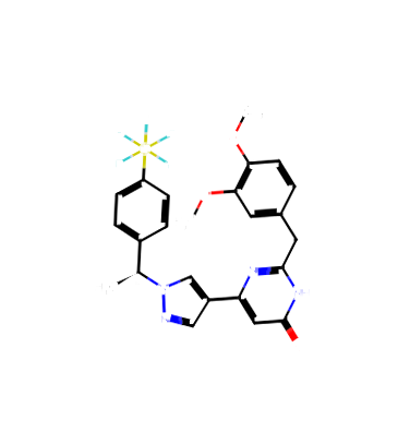 COc1ccc(Cc2nc(-c3cnn([C@@H](C)c4ccc(S(F)(F)(F)(F)F)cc4)c3)cc(=O)[nH]2)cc1OC